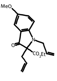 C=CCN1c2ccc(OC)cc2C(=O)C1(CC=C)C(=O)OCC